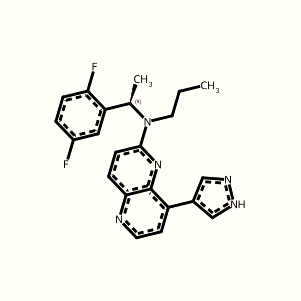 CCCN(c1ccc2nccc(-c3cn[nH]c3)c2n1)[C@H](C)c1cc(F)ccc1F